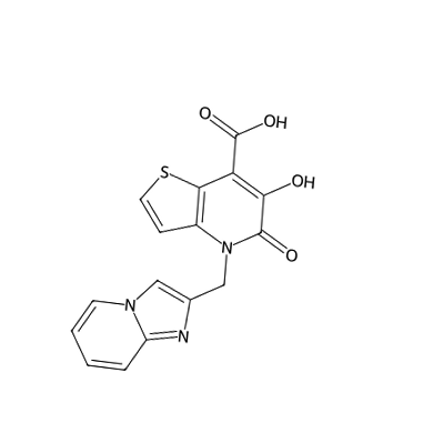 O=C(O)c1c(O)c(=O)n(Cc2cn3ccccc3n2)c2ccsc12